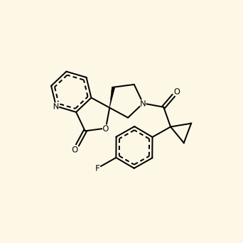 O=C1O[C@]2(CCN(C(=O)C3(c4ccc(F)cc4)CC3)C2)c2cccnc21